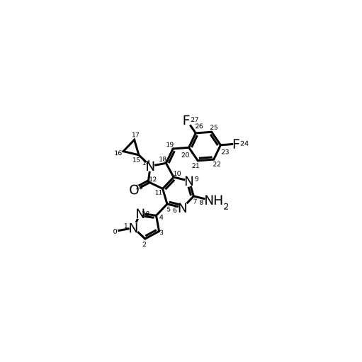 Cn1ccc(-c2nc(N)nc3c2C(=O)N(C2CC2)/C3=C/c2ccc(F)cc2F)n1